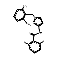 Cc1cccc(C)c1Cn1ccc(NC(=O)c2c(F)cccc2F)n1